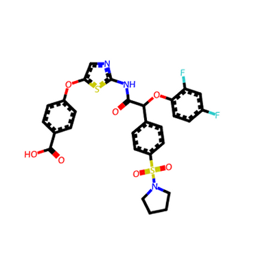 O=C(O)c1ccc(Oc2cnc(NC(=O)C(Oc3ccc(F)cc3F)c3ccc(S(=O)(=O)N4CCCC4)cc3)s2)cc1